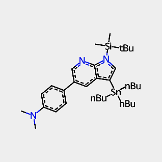 CCC[CH2][Sn]([CH2]CCC)([CH2]CCC)[c]1cn([Si](C)(C)C(C)(C)C)c2ncc(-c3ccc(N(C)C)cc3)cc12